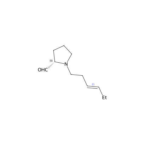 CC/C=C/CCN1CCC[C@H]1C=O